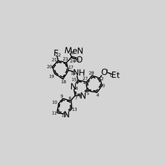 CCOc1ccc2nc(-c3cccnc3)nc(Nc3cccc(F)c3C(=O)NC)c2c1